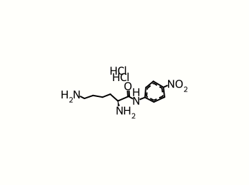 Cl.Cl.NCCCC[C@H](N)C(=O)Nc1ccc([N+](=O)[O-])cc1